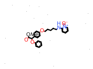 COC(=O)C(Oc1ccccc1)c1ccc(OCCCCCNc2cccc[n+]2[O-])cc1